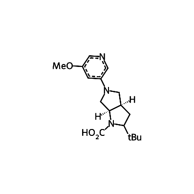 COc1cncc(N2C[C@H]3CC(C(C)(C)C)N(C(=O)O)[C@H]3C2)c1